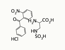 Cl.NC(CNS(=O)(=O)O)C(=O)O.O=C(c1ccccc1)c1ccccc1[N+](=O)[O-]